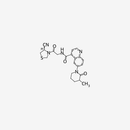 CC1CCCN(c2ccc3nccc(C(=O)NCC(=O)N4CSC[C@H]4C#N)c3c2)C1=O